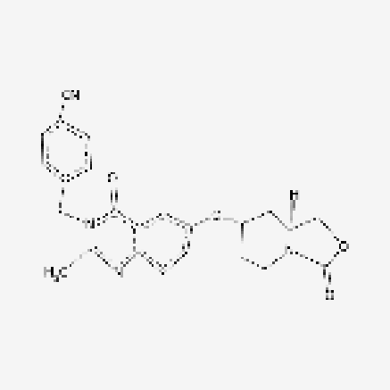 Cc1nc2ccc(O[C@H]3CCN4C(=O)OC[C@@H]4C3)cc2c(=O)n1Cc1ccc(C#N)cc1